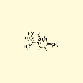 C=C(N)/N=C\N(/C=C\C)C(C)C